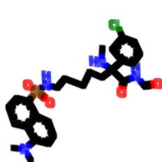 CNC(CCCCCNS(=O)(=O)c1cccc2c(N(C)C)cccc12)(C(=O)NC=O)c1cccc(Cl)c1